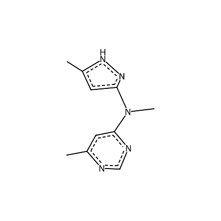 Cc1cc(N(C)c2cc(C)[nH]n2)ncn1